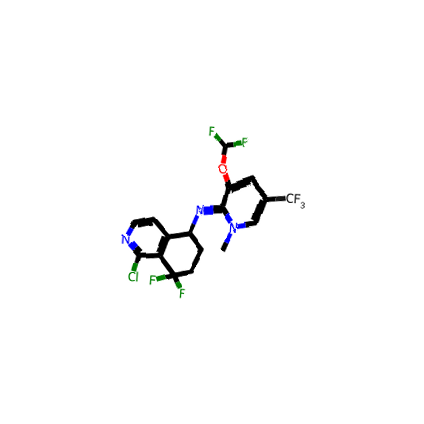 Cn1cc(C(F)(F)F)cc(OC(F)F)/c1=N/C1CCC(F)(F)c2c1ccnc2Cl